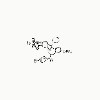 CCN1CC2CC1CN2C(=O)C1=Cc2cc(OC)ccc2-c2c(C3CCCCC3)c3ccc(C(=O)NS(=O)(=O)C4CC4)cc3n2C1